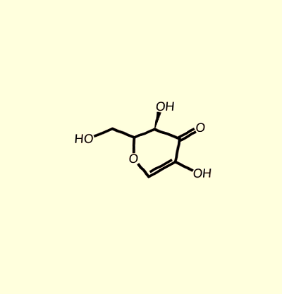 O=C1C(O)=COC(CO)[C@H]1O